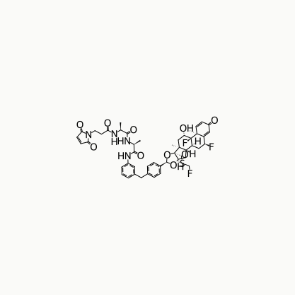 C[C@H](NC(=O)CCN1C(=O)C=CC1=O)C(=O)N[C@@H](C)C(=O)Nc1cccc(Cc2ccc([C@@H]3O[C@@H]4C[C@H]5[C@@H]6C[C@H](F)C7=CC(=O)C=C[C@]7(C)[C@@]6(F)[C@@H](O)C[C@]5(C)[C@]4(C(=O)SCF)O3)cc2)c1